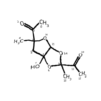 CC(=O)C1(C)CC2(O)OC(C)(C(C)=O)OC2O1